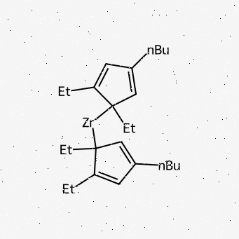 CCCCC1=C[C](CC)([Zr][C]2(CC)C=C(CCCC)C=C2CC)C(CC)=C1